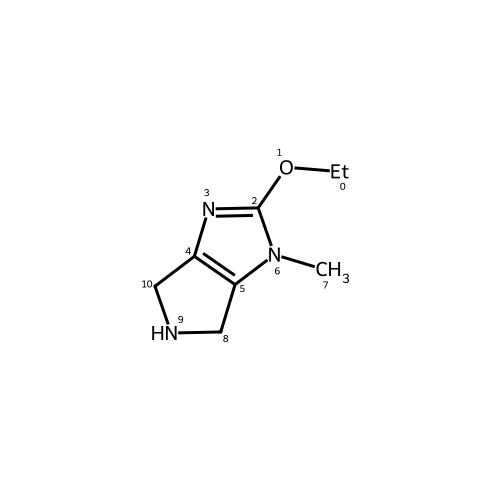 CCOc1nc2c(n1C)CNC2